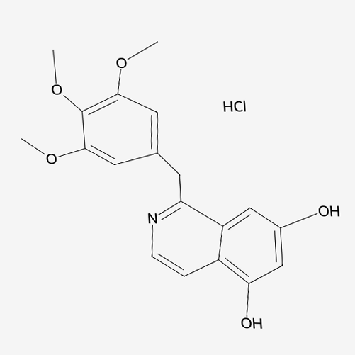 COc1cc(Cc2nccc3c(O)cc(O)cc23)cc(OC)c1OC.Cl